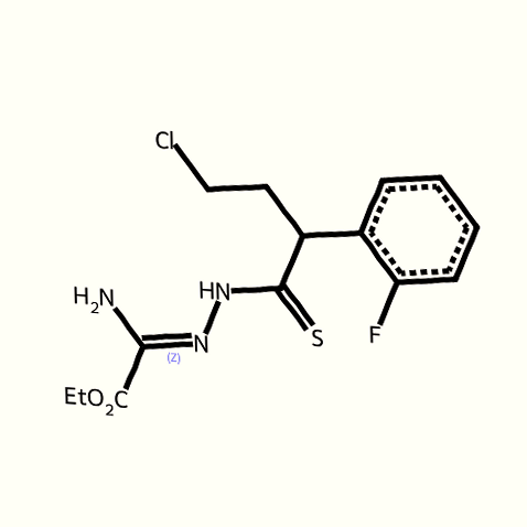 CCOC(=O)/C(N)=N/NC(=S)C(CCCl)c1ccccc1F